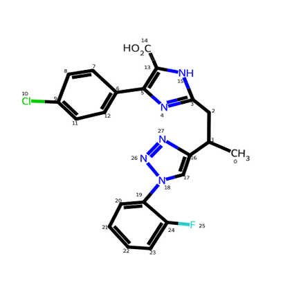 CC(Cc1nc(-c2ccc(Cl)cc2)c(C(=O)O)[nH]1)c1cn(-c2ccccc2F)nn1